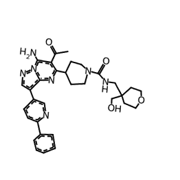 CC(=O)c1c(C2CCN(C(=O)NCC3(CO)CCOCC3)CC2)nc2c(-c3ccc(-c4ccccc4)nc3)cnn2c1N